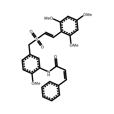 COc1cc(OC)c(/C=C/S(=O)(=O)Cc2ccc(OC)c(NC(=O)/C=C\c3ccccc3)c2)c(OC)c1